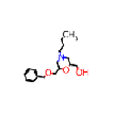 CCCCN1CC(CO)OC(COCc2ccccc2)C1